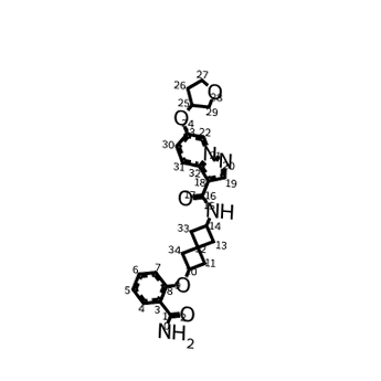 NC(=O)c1ccccc1OC1CC2(CC(NC(=O)c3cnn4cc(OC5CCOC5)ccc34)C2)C1